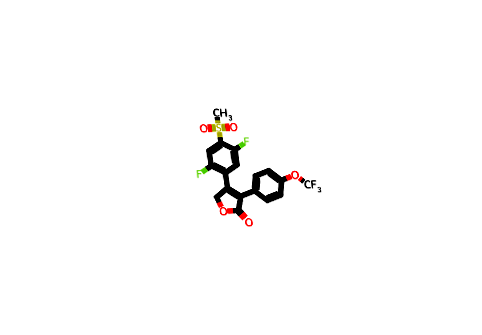 CS(=O)(=O)c1cc(F)c(C2=C(c3ccc(OC(F)(F)F)cc3)C(=O)OC2)cc1F